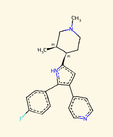 C[C@H]1CN(C)CC[C@H]1c1cc(-c2ccncc2)c(-c2ccc(F)cc2)[nH]1